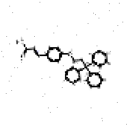 O=C(O)/C=C/c1ccc(OCCC(c2ccccc2)(c2ccccc2)c2ccccc2)cc1